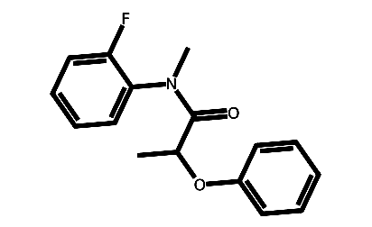 CC(Oc1ccccc1)C(=O)N(C)c1ccccc1F